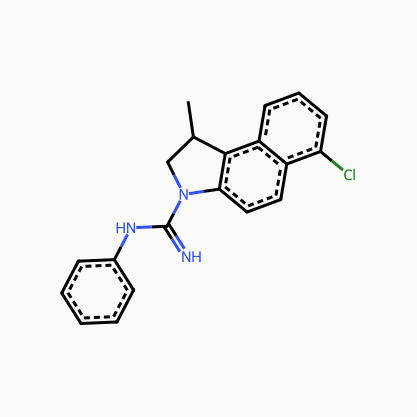 CC1CN(C(=N)Nc2ccccc2)c2ccc3c(Cl)cccc3c21